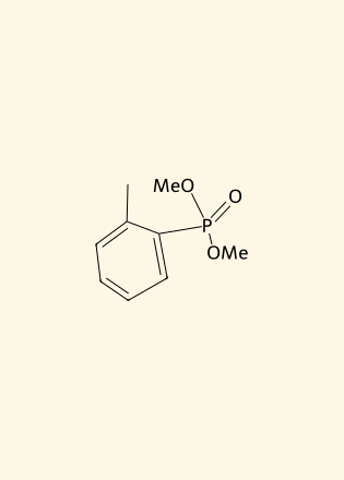 COP(=O)(OC)c1ccccc1C